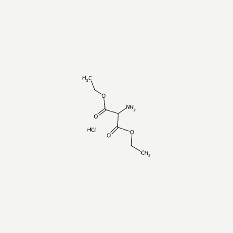 CCOC(=O)C(N)C(=O)OCC.Cl